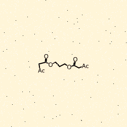 CC(=O)CC(=O)OCCCOC(=O)CC(C)=O